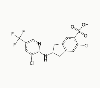 O=S(=O)(O)c1cc2c(cc1Cl)CC(Nc1ncc(C(F)(F)F)cc1Cl)C2